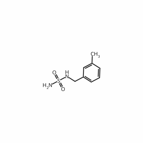 Cc1cccc(CNS(N)(=O)=O)c1